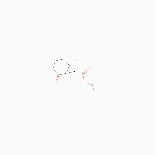 CCOC(=O)[C@H]1[C@@H]2CCCC(=O)[C@@H]21